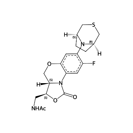 CC(=O)NC[C@@H]1OC(=O)N2c3cc(F)c(N4[C@@H]5CC[C@H]4CSC5)cc3OC[C@@H]12